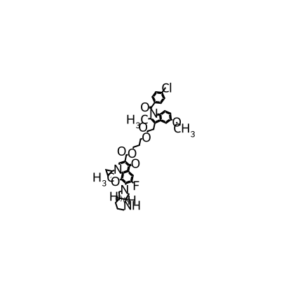 COc1ccc2c(c1)c(CC(=O)OCCCOC(=O)c1cn(C3CC3)c3c(OC)c(N4C[C@H]5CCCN[C@H]5C4)c(F)cc3c1=O)c(C)n2C(=O)c1ccc(Cl)cc1